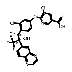 C[C@H](c1ccc(Oc2ncc(C(=O)O)cc2Cl)cc1Cl)[C@@](O)(c1ccc2nccnc2c1)C(F)(F)F